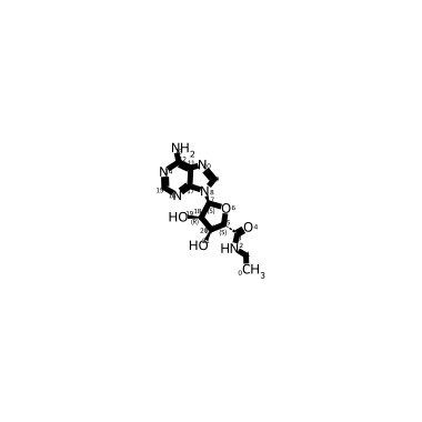 CCNC(=O)[C@H]1O[C@H](n2cnc3c(N)ncnc32)[C@H](O)[C@@H]1O